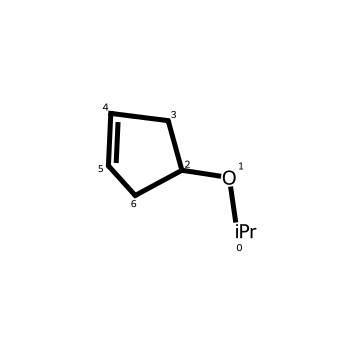 CC(C)OC1CC=CC1